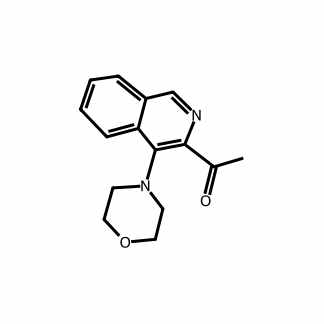 CC(=O)c1ncc2ccccc2c1N1CCOCC1